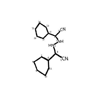 N#CC(NNC(C#N)C1CCCCC1)C1CCCCC1